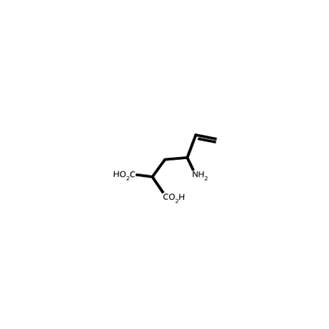 C=CC(N)CC(C(=O)O)C(=O)O